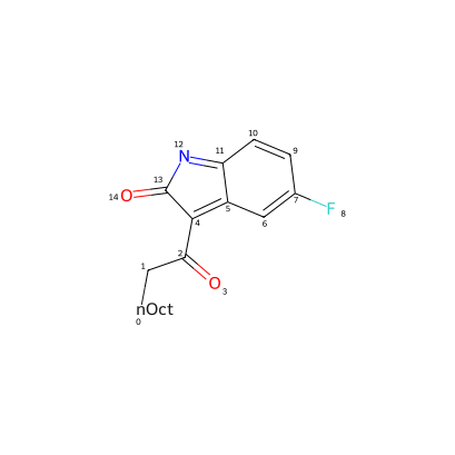 CCCCCCCCCC(=O)C1=c2cc(F)ccc2=NC1=O